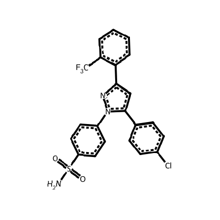 NS(=O)(=O)c1ccc(-n2nc(-c3ccccc3C(F)(F)F)cc2-c2ccc(Cl)cc2)cc1